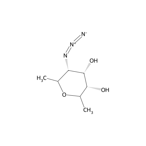 CC1OC(C)[C@H](N=[N+]=[N-])[C@H](O)[C@@H]1O